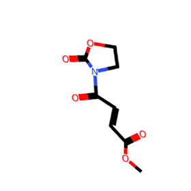 COC(=O)/C=C/C(=O)N1CCOC1=O